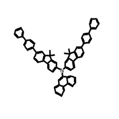 CC1(C)c2cc(-c3ccc(-c4ccccc4)cc3)ccc2-c2ccc(N(c3ccc4c(c3)C(C)(C)c3cc(-c5ccc(-c6ccccc6)cc5)ccc3-4)c3cc4ccccc4c4ccccc34)cc21